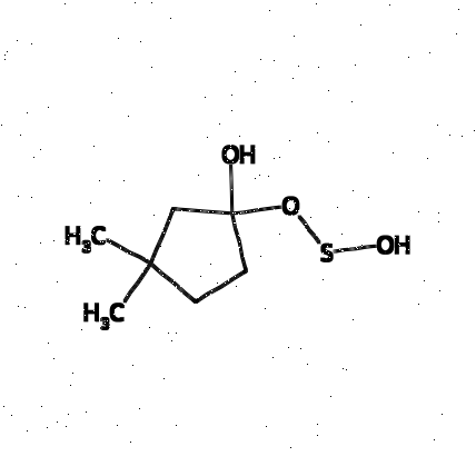 CC1(C)CCC(O)(OSO)C1